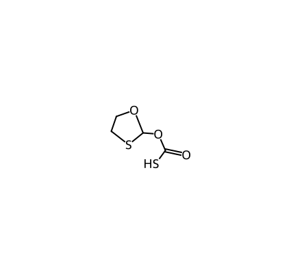 O=C(S)OC1OCCS1